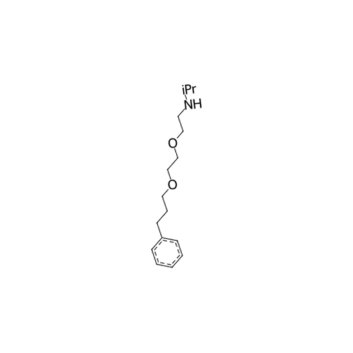 CC(C)NCCOCCOCCCc1ccccc1